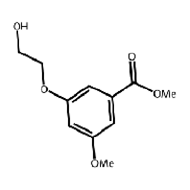 COC(=O)c1cc(OC)cc(OCCO)c1